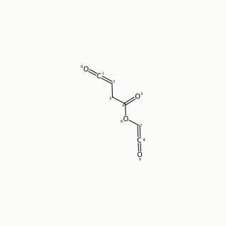 O=C=CCC(=O)OC=C=O